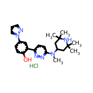 CN(c1ccc(-c2cc(-n3cccn3)ccc2O)nn1)C1CC(C)(C)NC(C)(C)C1.Cl